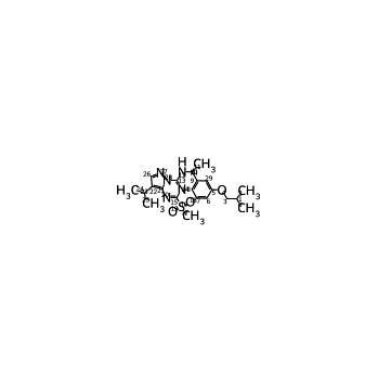 CC(C)COc1cccc([C@H](C)Nc2nc(S(C)(=O)=O)nc3c(C(C)C)cnn23)c1